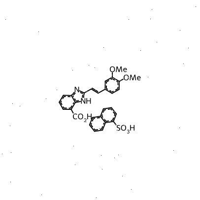 COc1ccc(C=Cc2nc3cccc(C(=O)O)c3[nH]2)cc1OC.O=S(=O)(O)c1cccc2ccccc12